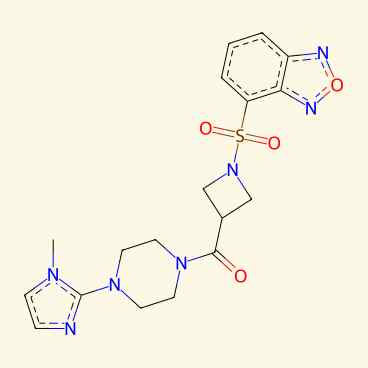 Cn1ccnc1N1CCN(C(=O)C2CN(S(=O)(=O)c3cccc4nonc34)C2)CC1